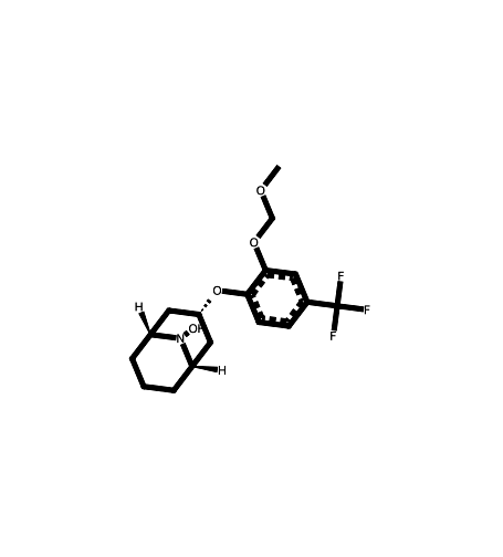 COCOc1cc(C(F)(F)F)ccc1O[C@H]1C[C@H]2CCC[C@@H](C1)N2O